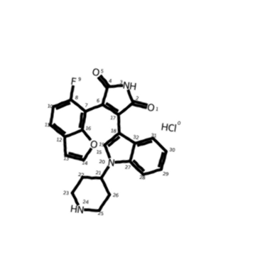 Cl.O=C1NC(=O)C(c2c(F)ccc3ccoc23)=C1c1cn(C2CCNCC2)c2ccccc12